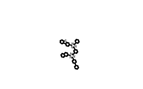 c1ccc(-c2ccc(-c3nc(-c4cccc(-c5nc(-c6ccccc6)nc(-c6ccc7c(c6)sc6ccccc67)n5)c4)nc(-c4ccc5ccccc5c4)n3)cc2)cc1